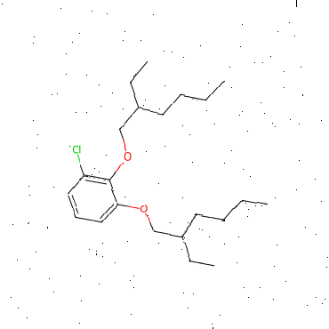 CCCCC(CC)COc1cccc(Cl)c1OCC(CC)CCCC